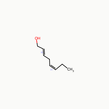 CC/C=C\C/C=C/CO